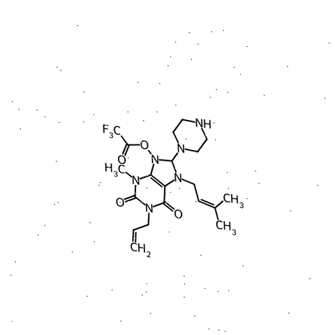 C=CCn1c(=O)c2c(n(C)c1=O)N(OC(=O)C(F)(F)F)C(N1CCNCC1)N2CC=C(C)C